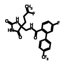 C=C(F)CCC1(CNC(=O)c2ccc(F)cc2-c2ccc(C(F)(F)F)cc2)NC(=O)NC1=O